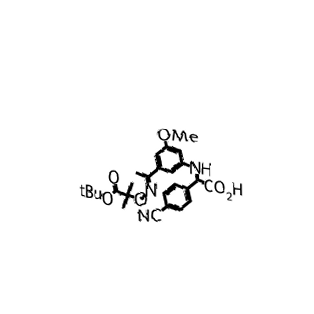 COc1cc(NC(C(=O)O)c2ccc(C#N)cc2)cc(C(C)=NOC(C)(C)C(=O)OC(C)(C)C)c1